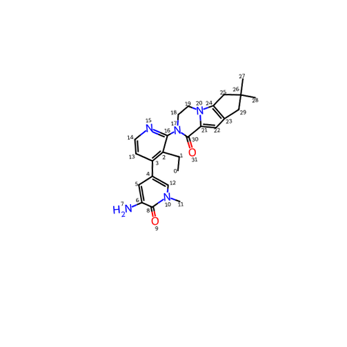 CCc1c(-c2cc(N)c(=O)n(C)c2)ccnc1N1CCn2c(cc3c2CC(C)(C)C3)C1=O